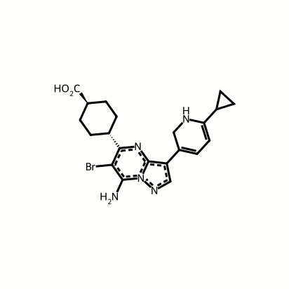 Nc1c(Br)c([C@H]2CC[C@H](C(=O)O)CC2)nc2c(C3=CC=C(C4CC4)NC3)cnn12